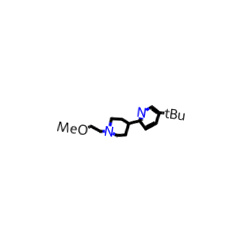 COCCN1CCC(c2ccc(C(C)(C)C)cn2)CC1